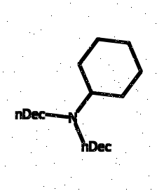 CCCCCCCCCCN(CCCCCCCCCC)C1CCCCC1